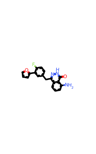 Nc1cccc2c(Cc3ccc(F)c(-c4ccco4)c3)n[nH]c(=O)c12